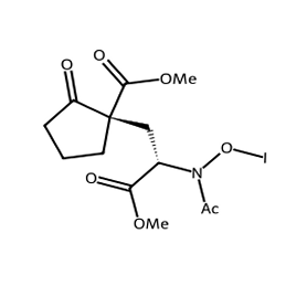 COC(=O)[C@H](C[C@@]1(C(=O)OC)CCCC1=O)N(OI)C(C)=O